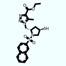 CCOC(=O)c1nnn(C[C@@H]2C[C@@H](S)CN2S(=O)(=O)c2ccc3ccccc3c2)c1C